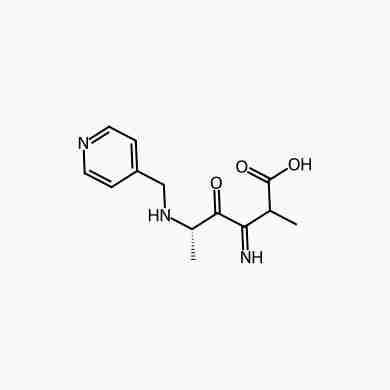 CC(C(=N)C(=O)[C@H](C)NCc1ccncc1)C(=O)O